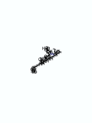 CCC[N+]1=C(/C=C/C=C2/N(CCCS(=O)(=O)O)c3ccc(S(=O)(=O)O)cc3C2(C)C)C(C)(CCCCCC(=O)NCCCNc2nc(Cl)nc(NCCCCCC(=O)ON3C(=O)CCC3=O)n2)c2cc(C)ccc21